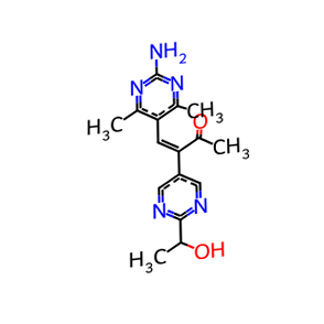 CC(=O)/C(=C\c1c(C)nc(N)nc1C)c1cnc(C(C)O)nc1